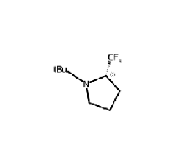 CC(C)(C)N1CCC[C@H]1C(F)(F)F